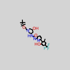 Cc1cc(C(F)(F)F)cc(O)c1-c1ccc2oc(N[C@@H]3C[C@H](O)CN(CCO[Si](C)(C)C(C)(C)C)C3)nc2n1